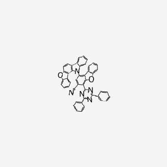 N#Cc1cc(-n2c3ccccc3c3ccc4oc5ccccc5c4c32)c2c(oc3ccccc32)c1-c1nc(-c2ccccc2)nc(-c2ccccc2)n1